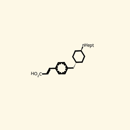 CCCCCCC[C@H]1CC[C@H](Cc2ccc(/C=C/C(=O)O)cc2)CC1